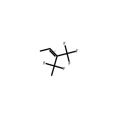 C/C=C(\C(C)(F)F)C(F)(F)F